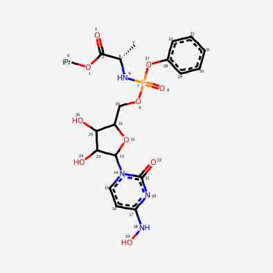 CC(C)OC(=O)[C@H](C)NP(=O)(OCC1OC(n2ccc(NO)nc2=O)C(O)C1O)Oc1ccccc1